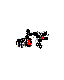 Cc1cc(-c2cc3ccccc3c3ccccc23)cc(-c2ccc3ccccc3c2)c1N(c1ccc2c(c1)C(C)(C)c1ccccc1-2)c1ccc2c(c1)C(C)(C)c1ccc(-c3ccc4c(-c5ccc(N(c6ccc7c(c6)C(C)(C)c6ccccc6-7)c6ccc7c(c6)C(C)(C)c6ccccc6-7)c(-c6ccc7ccccc7c6)c5)cc5ccccc5c4c3)cc1-2